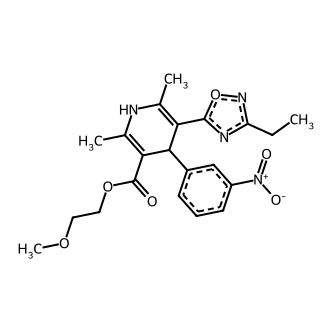 CCc1noc(C2=C(C)NC(C)=C(C(=O)OCCOC)C2c2cccc([N+](=O)[O-])c2)n1